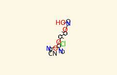 Cc1c(COc2cc(OCc3cncc(C#N)c3)c(CN3CCCCC3)cc2Cl)cccc1-c1cccc(OCCCN2CCCCC2CO)c1C